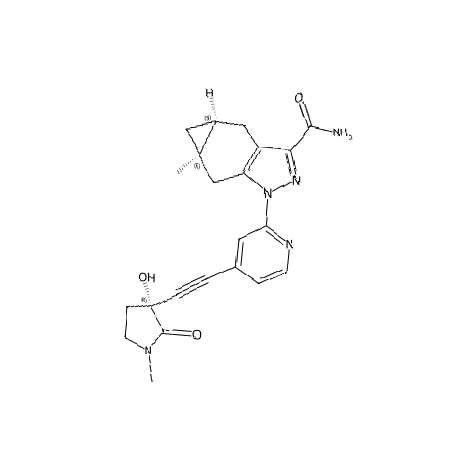 CN1CC[C@@](O)(C#Cc2ccnc(-n3nc(C(N)=O)c4c3C[C@@]3(C)C[C@H]3C4)c2)C1=O